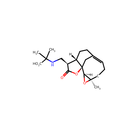 CC(C)(NC[C@@H]1C(=O)O[C@@]23C/C(=C\CC[C@@]4(C)O[C@@H]24)CC[C@@H]13)C(=O)O